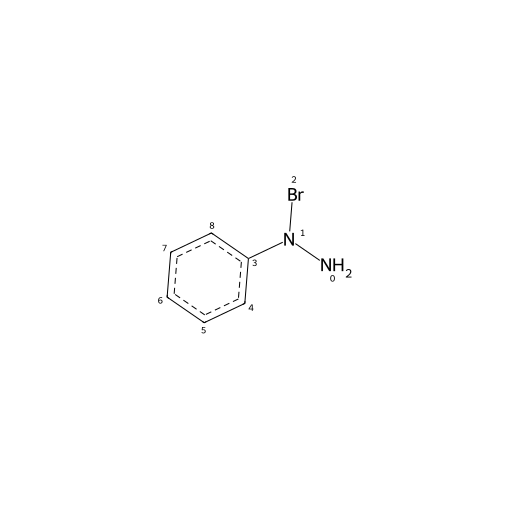 NN(Br)c1ccccc1